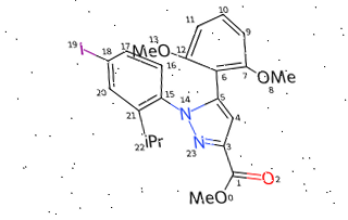 COC(=O)c1cc(-c2c(OC)cccc2OC)n(-c2ccc(I)cc2C(C)C)n1